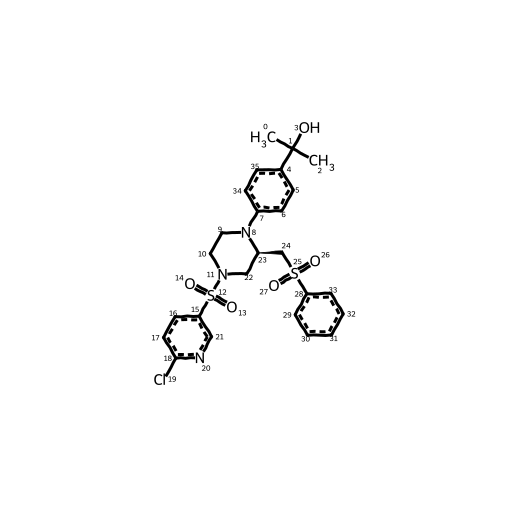 CC(C)(O)c1ccc(N2CCN(S(=O)(=O)c3ccc(Cl)nc3)C[C@@H]2CS(=O)(=O)c2ccccc2)cc1